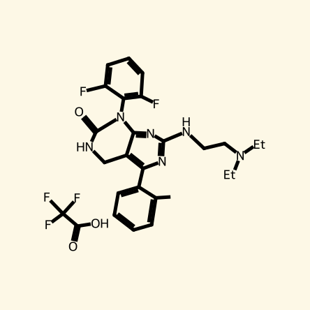 CCN(CC)CCNc1nc(-c2ccccc2C)c2c(n1)N(c1c(F)cccc1F)C(=O)NC2.O=C(O)C(F)(F)F